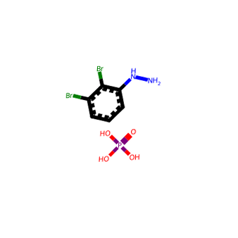 NNc1cccc(Br)c1Br.O=P(O)(O)O